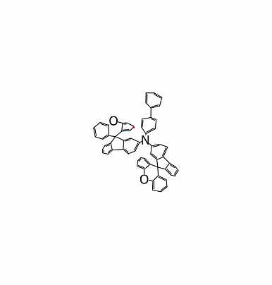 c1ccc(-c2ccc(N(c3ccc4c(c3)C3(c5ccccc5Oc5ccccc53)c3ccccc3-4)c3ccc4c(c3)C3(c5ccccc5Oc5ccccc53)c3ccccc3-4)cc2)cc1